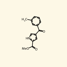 COC(=O)c1cc(C(=O)c2cccc(C)c2)c[nH]1